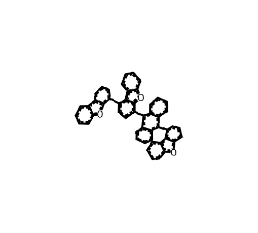 c1ccc2c(c1)oc1c(-c3ccc(-c4c5ccccc5c(-c5cccc6oc7ccccc7c56)c5ccccc45)c4oc5ccccc5c34)cccc12